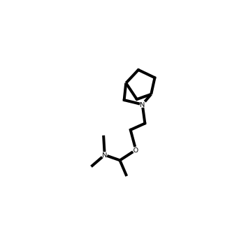 CC(OCCN1CC2CCC1C2)N(C)C